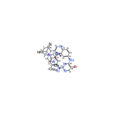 COc1cc(N2C[C@H]3C[C@@H](C2)C3N2CCN(C)CC2)c(C)cc1Nc1ncc(Br)c(Nc2ccc3nccnc3c2)n1